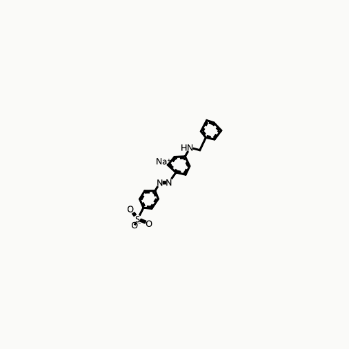 O=S(=O)([O-])c1ccc(N=Nc2ccc(NCc3ccccc3)cc2)cc1.[Na+]